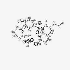 CCCC[C@@H](C)N(c1cc(Cl)ccc1Cl)S(=O)(=O)c1ccc(Cl)c(N2CCCCC2CS(C)(=O)=O)c1